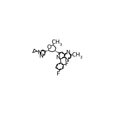 Cc1cnc2c(-c3ccc(F)cc3F)nc([C@@H]3C[C@@H](C)O[C@H](c4cnn(C5CC5)c4)C3)cc2n1